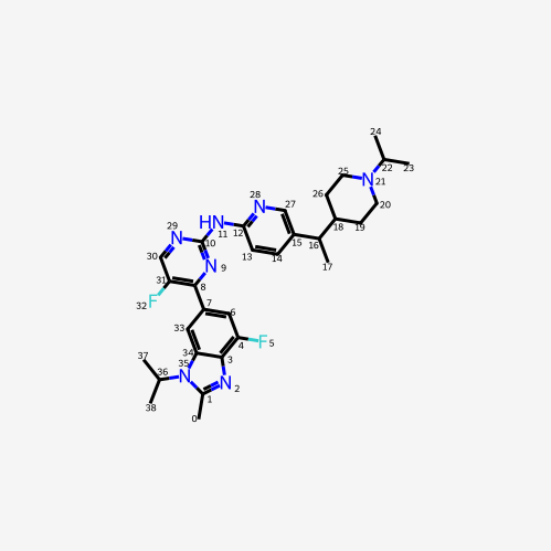 Cc1nc2c(F)cc(-c3nc(Nc4ccc(C(C)C5CCN(C(C)C)CC5)cn4)ncc3F)cc2n1C(C)C